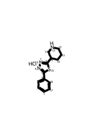 Cl.c1ccc(-c2nnc(C3CCCNC3)s2)cc1